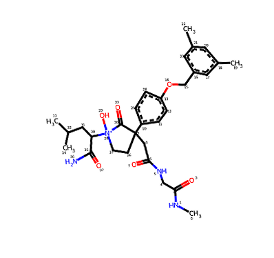 CNC(=O)CNC(=O)CC1(c2ccc(OCc3cc(C)cc(C)c3)cc2)CC[N+](O)(C(CC(C)C)C(N)=O)C1=O